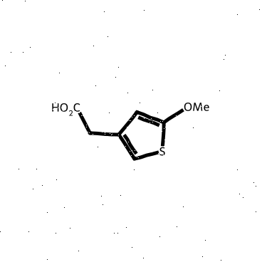 COc1cc(CC(=O)O)cs1